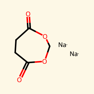 O=C1CCC(=O)OCO1.[Na].[Na]